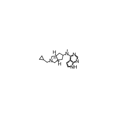 CN(c1ncnc2[nH]ccc12)C1C[C@@H]2CN(CC3CC3)C[C@@H]2C1